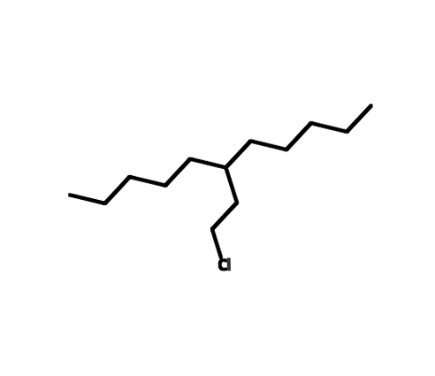 CCCCCC(CCCl)CCCCC